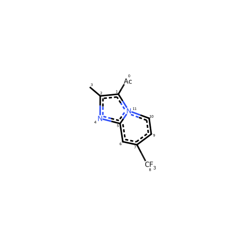 CC(=O)c1c(C)nc2cc(C(F)(F)F)ccn12